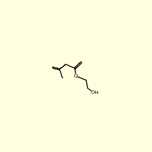 C=C(C)CC(=C)OCCO